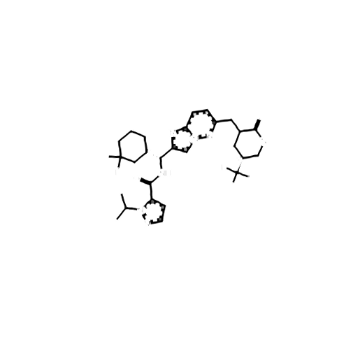 CC(C)n1nccc1C(=O)NC(c1cn2nc(CC3C[C@H](C(F)(F)F)CNC3=O)ccc2n1)[C@H]1CCCC(F)(F)C1